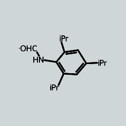 CC(C)c1cc(C(C)C)c(N[C]=O)c(C(C)C)c1